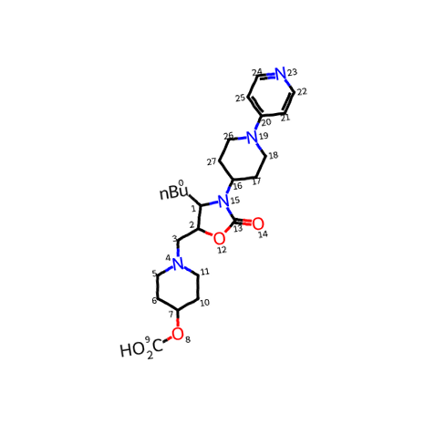 CCCCC1C(CN2CCC(OC(=O)O)CC2)OC(=O)N1C1CCN(c2ccncc2)CC1